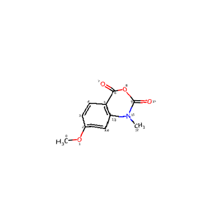 COc1ccc2c(=O)oc(=O)n(C)c2c1